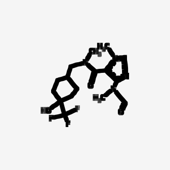 CN(CC1CCC(O)(C(F)(F)F)CC1)C(=O)c1c(N(C)C=O)ncn1C